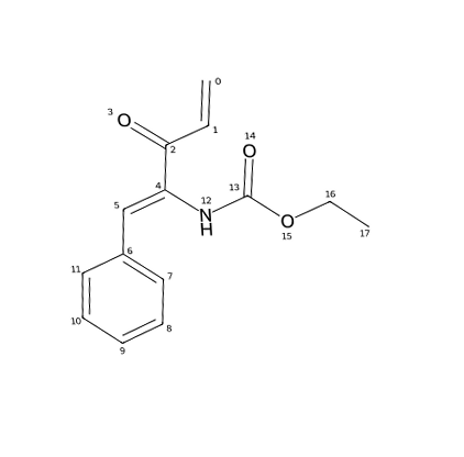 C=CC(=O)C(=Cc1ccccc1)NC(=O)OCC